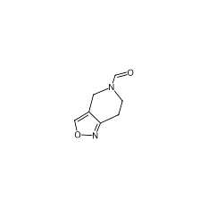 O=CN1CCc2nocc2C1